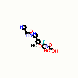 N#Cc1cc(-c2ccnc(NC(=O)C3CC3c3cccnc3)c2)ccc1OC1CCN(C(=O)C(O)CO)CC1(F)F